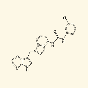 O=C(Nc1cccc(Cl)c1)Nc1cccc2c1ccn2Cc1c[nH]c2ncccc12